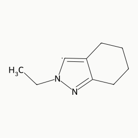 CCn1[c]c2c(n1)CCCC2